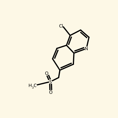 CS(=O)(=O)Cc1ccc2c(Cl)ccnc2c1